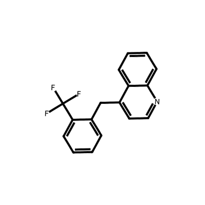 FC(F)(F)c1ccccc1Cc1ccnc2ccccc12